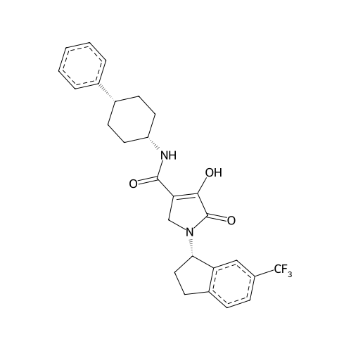 O=C(N[C@H]1CC[C@@H](c2ccccc2)CC1)C1=C(O)C(=O)N([C@H]2CCc3ccc(C(F)(F)F)cc32)C1